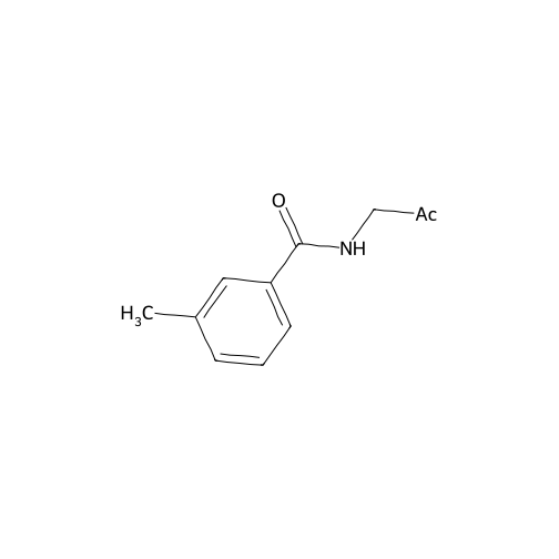 CC(=O)CNC(=O)c1cccc(C)c1